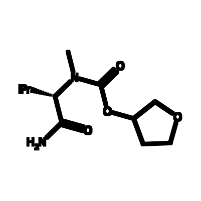 CC(C)[C@@H](C(N)=O)N(C)C(=O)OC1CCOC1